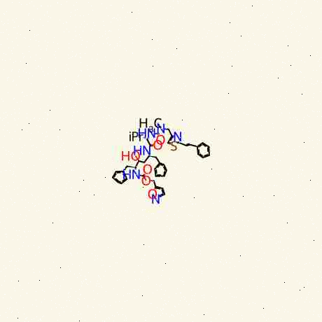 CC(C)[C@H](NC(=O)N(C)Cc1csc(C=Cc2ccccc2)n1)C(=O)N[C@@H](Cc1ccccc1)C[C@H](O)[C@H](Cc1ccccc1)NC(=O)OCc1ccno1